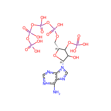 Nc1ncnc2c1ncn2[C@@H]1O[C@H](COP(=O)(O)OP(=O)(O)OP(=O)(O)OP(=O)(O)O)C(OP(=O)(O)O)C1O